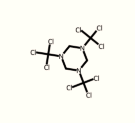 ClC(Cl)(Cl)N1CN(C(Cl)(Cl)Cl)CN(C(Cl)(Cl)Cl)C1